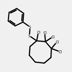 ClC1(Cl)CCCCCC(Cl)(SSc2ccccc2)C1(Cl)Cl